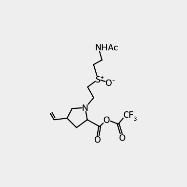 C=CC1CC(C(=O)OC(=O)C(F)(F)F)N(CC[S+]([O-])CCNC(C)=O)C1